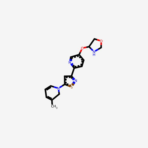 CC1=CC=CN(c2cc(-c3ccc(OC4COCN4)cn3)ns2)C1